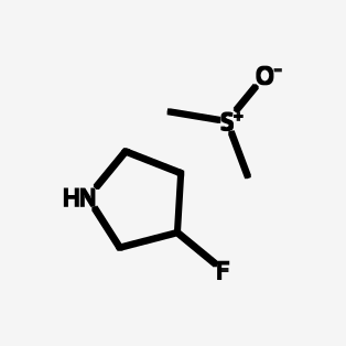 C[S+](C)[O-].FC1CCNC1